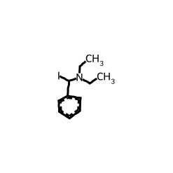 CCN(CC)C(I)c1ccccc1